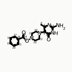 Cc1nc(N)[nH]c(=O)c1N1CCN(OC(=O)c2ccccc2)CC1